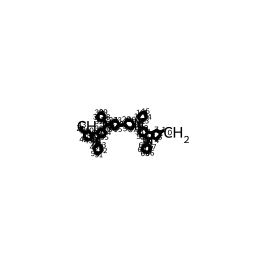 C=Cc1ccc2c(c1)c1cc(N(c3ccccc3)c3ccc(-c4ccc(N(c5ccccc5)c5ccc6c(c5)c5cc(C=C)ccc5n6-c5ccccc5)cc4)cc3)ccc1n2-c1ccccc1